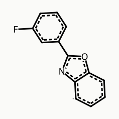 Fc1cccc(-c2nc3[c]cccc3o2)c1